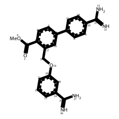 COC(=O)c1ccc(-c2ccc(C(=N)N)cc2)cc1COc1cccc(C(=N)N)c1